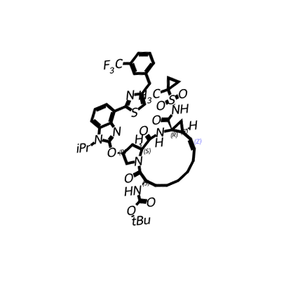 CC(C)n1c(O[C@@H]2C[C@H]3C(=O)N[C@]4(C(=O)NS(=O)(=O)C5(C)CC5)C[C@H]4/C=C\CCCCC[C@H](NC(=O)OC(C)(C)C)C(=O)N3C2)nc2c(-c3nc(Cc4cccc(C(F)(F)F)c4)cs3)cccc21